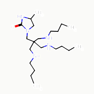 CCCCNCC(CNCCCC)(CNCCCC)CN1CC(C)NC1=O